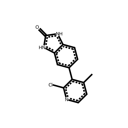 Cc1ccnc(Cl)c1-c1ccc2[nH]c(=O)[nH]c2c1